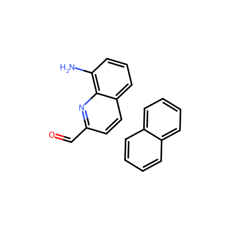 Nc1cccc2ccc(C=O)nc12.c1ccc2ccccc2c1